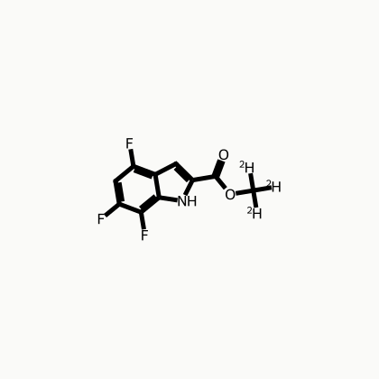 [2H]C([2H])([2H])OC(=O)c1cc2c(F)cc(F)c(F)c2[nH]1